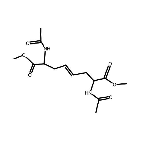 COC(=O)C(C/C=C/CC(NC(C)=O)C(=O)OC)NC(C)=O